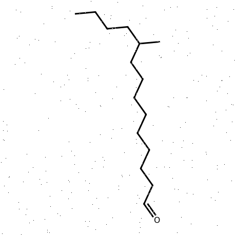 CCCCC(C)CCCCCCCCC=O